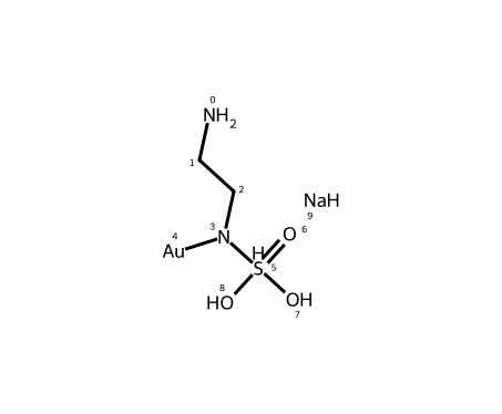 NCC[N]([Au])[SH](=O)(O)O.[NaH]